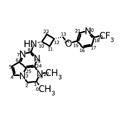 C[C@H]1Cn2ccc3nc(N[C@H]4C[C@@H](COc5ccc(C(F)(F)F)nc5)C4)nc(c32)N1C